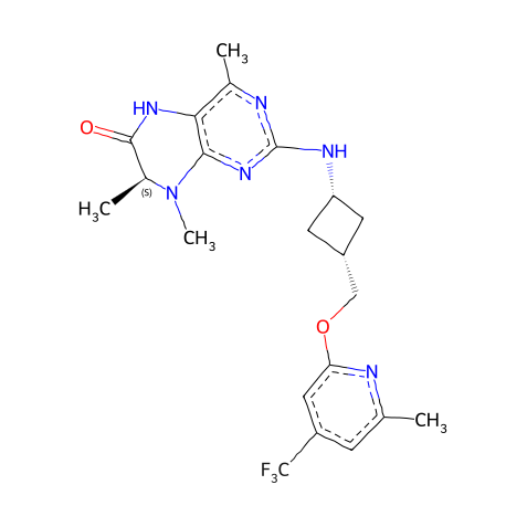 Cc1cc(C(F)(F)F)cc(OC[C@H]2C[C@@H](Nc3nc(C)c4c(n3)N(C)[C@@H](C)C(=O)N4)C2)n1